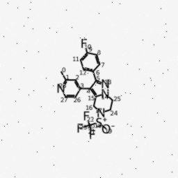 Cc1cc(-c2c(-c3ccc(F)cc3)nn3c2CN([S+]([O-])C(F)(F)F)CC3)ccn1